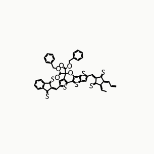 C=C/C=C1/C(=S)/C(=C/c2cc3sc4c(c3s2)OC(C(=O)OCc2ccccc2)(C(=O)OCc2ccccc2)c2cc(C=C3C(=S)c5ccccc5C3=S)sc2-4)C(=S)/C1=C/C